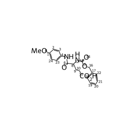 COc1ccc(NC(=O)C(CCC(=O)O)NC(=O)OCc2ccccc2)cc1